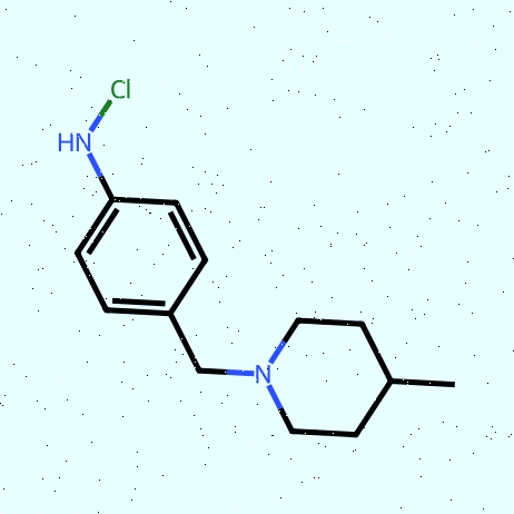 CC1CCN(Cc2ccc(NCl)cc2)CC1